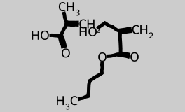 C=C(C)C(=O)O.C=C(CO)C(=O)OCCCC